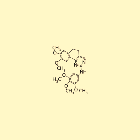 COc1cc2c(cc1OC)-c1nc(Nc3cc(OC)c(OC)c(OC)c3)ncc1CC2